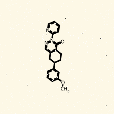 COc1cccc(C2CCc3c(cnn(-c4ccccn4)c3=O)C2)c1